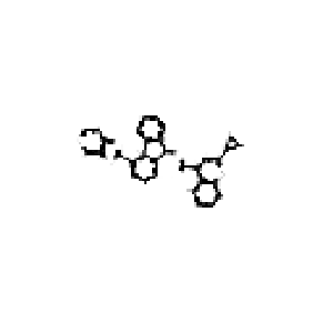 O=C(NC1c2ccccc2-c2c(-c3nc4ccncc4[nH]3)cccc21)c1cc(C2CC2)nc2ccccc12